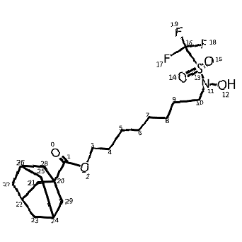 O=C(OCCCCCCCCN(O)S(=O)(=O)C(F)(F)F)C12CC3CC(CC(C3)C1)C2